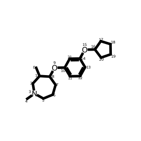 CC1CN(C)CCCC1Oc1cccc(OC2CCCC2)c1